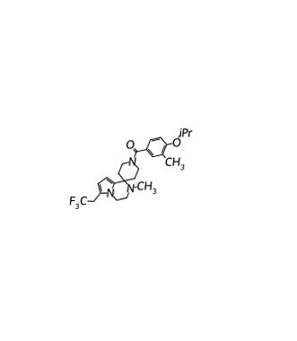 Cc1cc(C(=O)N2CCC3(CC2)c2ccc(CC(F)(F)F)n2CCN3C)ccc1OC(C)C